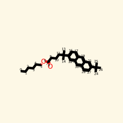 CCCCCCOC(=O)CCCC(C)(C)c1ccc2cc3cc(C(C)(C)C)ccc3cc2c1